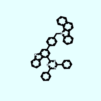 c1ccc(-c2nc(-c3ccccc3)nc(-c3cc(-c4ccc(Cn5c6ccccc6c6ccc7ccccc7c65)cc4)cc4oc5ccccc5c34)n2)cc1